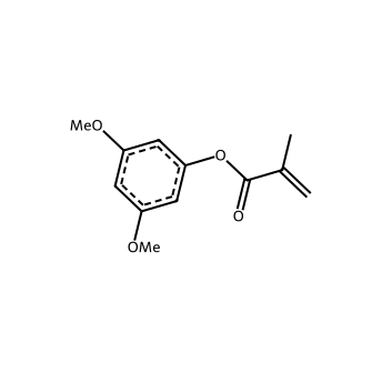 C=C(C)C(=O)Oc1cc(OC)cc(OC)c1